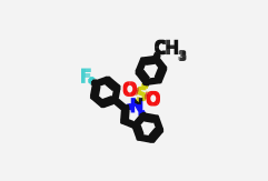 Cc1ccc(S(=O)(=O)n2c(-c3ccc(F)cc3)cc3ccccc32)cc1